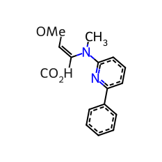 CO/C=C(/C(=O)O)N(C)c1cccc(-c2ccccc2)n1